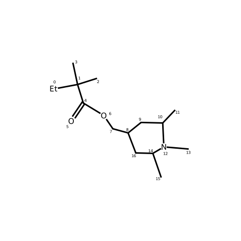 CCC(C)(C)C(=O)OCC1CC(C)N(C)C(C)C1